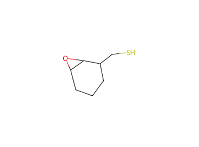 SCC1CCCC2OC12